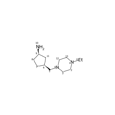 CCN1CCN(C[C@H]2CC[C@@H](N)C2)CC1